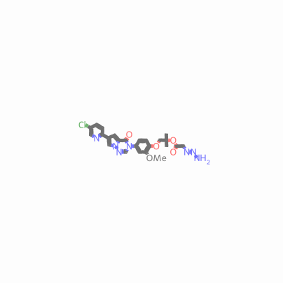 COc1cc(-n2cnn3cc(-c4ccc(Cl)cn4)cc3c2=O)ccc1OCC(C)(C)OC(=O)CN=NN